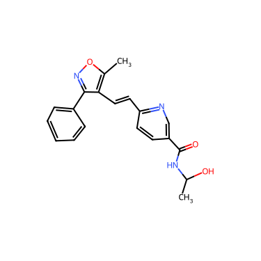 Cc1onc(-c2ccccc2)c1C=Cc1ccc(C(=O)NC(C)O)cn1